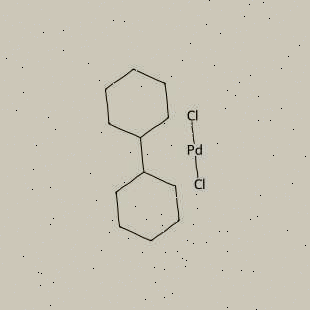 C1CCC(C2CCCCC2)CC1.[Cl][Pd][Cl]